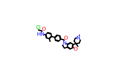 Cc1cc(NC(=O)CCl)ccc1-c1ccc(C(=O)N2CCc3cc4c(cc32)C2(CCN(C)CC2)CO4)cc1